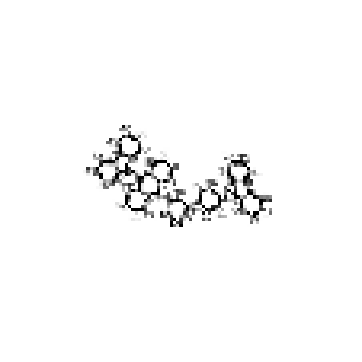 C1=CC2C(c3cncc(-c4ccc(-n5c6ccccc6c6ccccc65)cc4)c3)=c3ccccc3=C(n3c4ccccc4c4ccccc43)C2C=C1